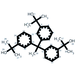 CC(C)(O)c1cccc(C(C)(c2cccc(C(C)(C)O)c2)c2cccc(C(C)(C)O)c2)c1